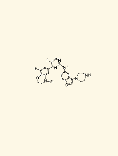 CC(C)N1CCOc2c(F)cc(-c3nc(Nc4ccc5occ(N6CCNCC6)c5c4)ncc3F)cc21